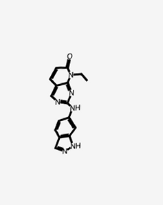 CCn1c(=O)ccc2cnc(Nc3ccc4cn[nH]c4c3)nc21